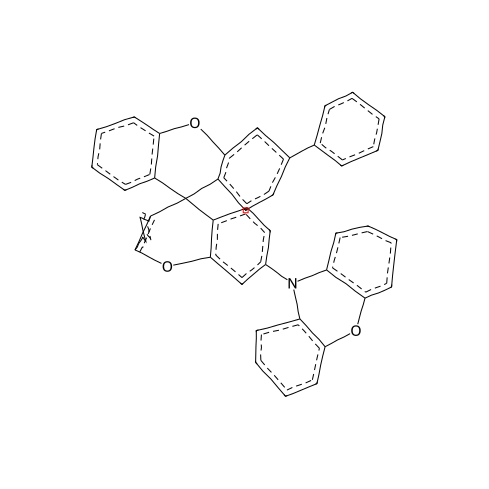 c1ccc(-c2ccc3c(c2)Oc2ccccc2C32c3ccccc3Oc3cc(N4c5ccccc5Oc5ccccc54)ccc32)cc1